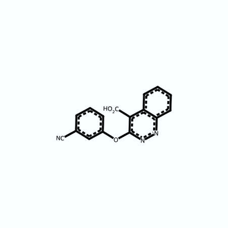 N#Cc1cccc(Oc2nnc3ccccc3c2C(=O)O)c1